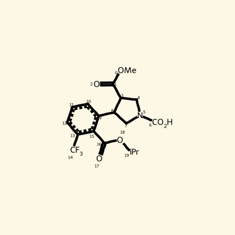 COC(=O)C1CN(C(=O)O)CC1c1cccc(C(F)(F)F)c1C(=O)OC(C)C